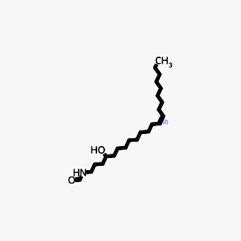 CCCCCCCC/C=C\CCCCCCCCC(O)CCCNC=O